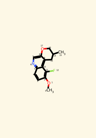 COc1ccc2ncc3c(c2c1F)CC(C)CO3